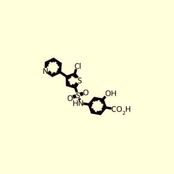 O=C(O)c1ccc(NS(=O)(=O)c2cc(-c3cccnc3)c(Cl)s2)cc1O